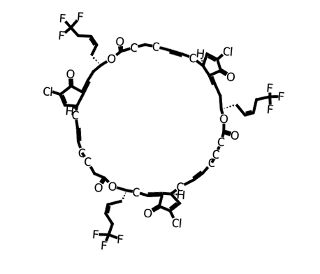 O=C1CCC/C=C\C[C@H]2C=C(Cl)C(=O)/C2=C/C[C@H](C/C=C\CC(F)(F)F)OC(=O)CCC/C=C\C[C@H]2C=C(Cl)C(=O)/C2=C/C[C@H](C/C=C\CC(F)(F)F)OC(=O)CCC/C=C\C[C@H]2C=C(Cl)C(=O)/C2=C/C[C@H](C/C=C\CC(F)(F)F)O1